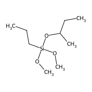 CCC[Si](OC)(OC)OC(C)CC